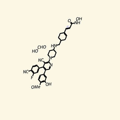 COc1ccc(-c2cnc(N3CCC(NCC4CC=C(/C=C/C(=O)NO)CC4)CC3)c(C#N)c2-c2ccc(C#N)c(F)c2)cc1O.O=CO